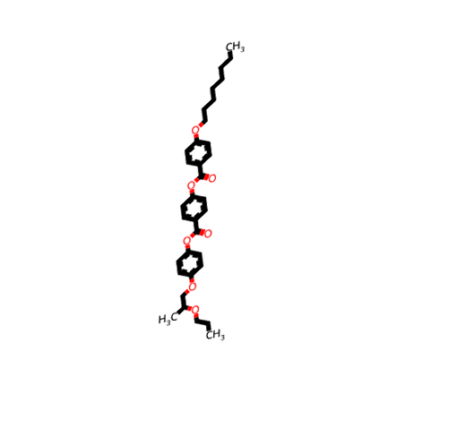 CCCCCCCCOc1ccc(C(=O)Oc2ccc(C(=O)Oc3ccc(OCC(C)OCCC)cc3)cc2)cc1